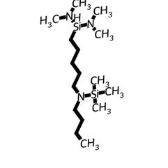 CCCCN(CCCCC[SiH](N(C)C)N(C)C)[Si](C)(C)C